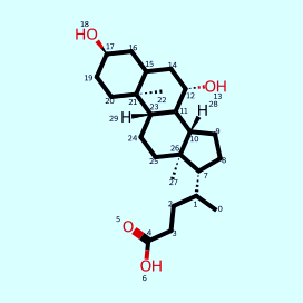 CC(CCC(=O)O)[C@H]1CC[C@H]2C3[C@@H](O)CC4C[C@H](O)CC[C@]4(C)[C@H]3CC[C@]12C